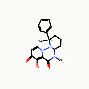 CN1C(=O)c2c(O)c(=O)ccn2N2C1CCC[C@@]2(C)c1ccccc1